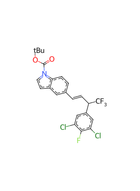 CC(C)(C)OC(=O)n1ccc2cc(/C=C/C(c3cc(Cl)c(F)c(Cl)c3)C(F)(F)F)ccc21